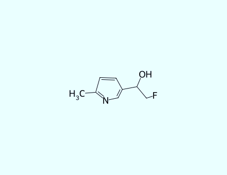 Cc1ccc(C(O)CF)cn1